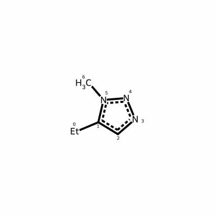 CCc1cnnn1C